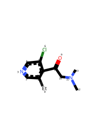 CCc1cncc(Cl)c1C(=O)CN(C)C